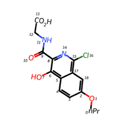 CCCOc1ccc2c(O)c(C(=O)NCC(=O)O)nc(Cl)c2c1